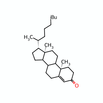 CCC(C)CCCC(C)[C@H]1CCC2C3CCC4=CC(=O)CC[C@]4(C)C3CC[C@@]21C